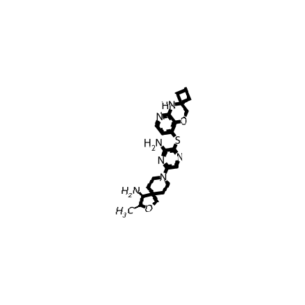 C[C@@H]1OCC2(CCN(c3cnc(Sc4ccnc5c4OCC4(CCC4)N5)c(N)n3)CC2)[C@@H]1N